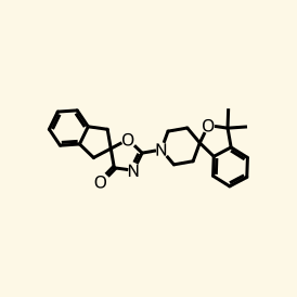 CC1(C)OC2(CCN(C3=NC(=O)C4(Cc5ccccc5C4)O3)CC2)c2ccccc21